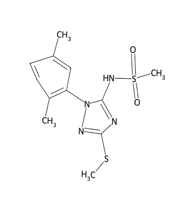 CSc1nc(NS(C)(=O)=O)n(-c2cc(C)ccc2C)n1